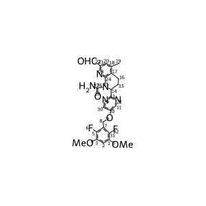 COc1cc(OC)c(F)c(COc2cnc(C3CCc4c(C)cc(C=O)nc4N3C(N)=O)nc2)c1F